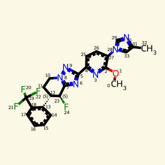 COc1nc(-c2nc3n(n2)CC[C@@H](c2ccccc2C(F)(F)F)[C@@H]3F)ccc1-n1cnc(C)c1